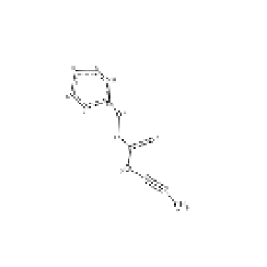 CC#COC(=O)COc1ccccc1